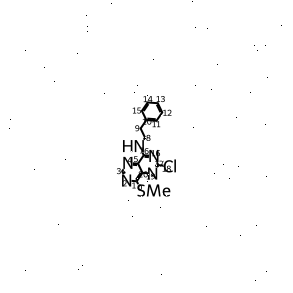 CSc1ncnc2c(NCCc3ccccc3)nc(Cl)nc12